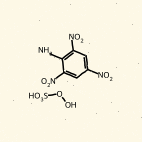 Cc1c([N+](=O)[O-])cc([N+](=O)[O-])cc1[N+](=O)[O-].N.O=S(=O)(O)OO